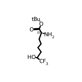 CC(C)(C)OC(=O)[C@@H](N)CCCCC(O)C(F)(F)F